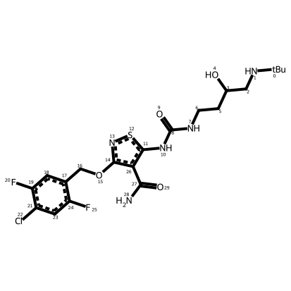 CC(C)(C)NCC(O)CCNC(=O)Nc1snc(OCc2cc(F)c(Cl)cc2F)c1C(N)=O